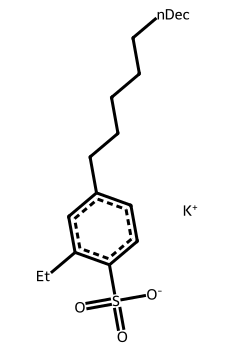 CCCCCCCCCCCCCCCc1ccc(S(=O)(=O)[O-])c(CC)c1.[K+]